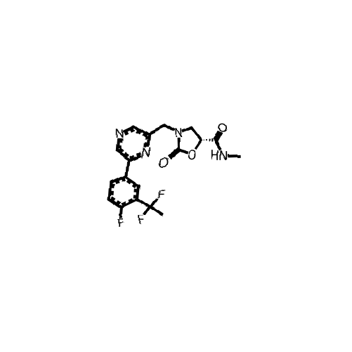 CNC(=O)[C@H]1CN(Cc2cncc(-c3ccc(F)c(C(C)(F)F)c3)n2)C(=O)O1